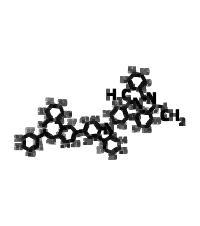 C=CC(/N=C(\N=C(/C)c1ccc(-n2c3ccccc3c3cc(-c4ccc5c(c4)-c4ccccc4CC(c4ccccc4)=C5)ccc32)cc1)c1ccccc1)c1ccccc1